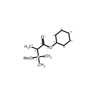 CO[Si](C)(C)C(C)C(=O)OC1CCCCC1